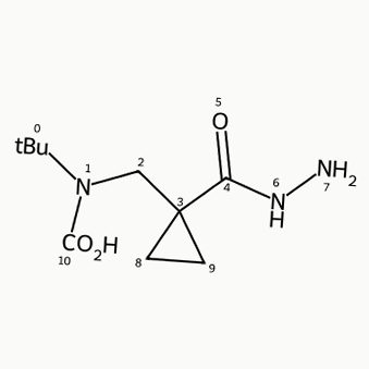 CC(C)(C)N(CC1(C(=O)NN)CC1)C(=O)O